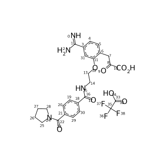 N=C(N)c1ccc(CC(=O)C(=O)O)c(OCCNC(=O)c2ccc(C(=O)N3CCCC3)cc2)c1.O=C(O)C(F)(F)F